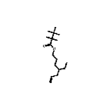 C=CCC(CC)CCCOC(=O)C(C)(C)C(C)(C)C